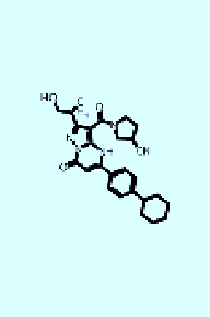 CC(CO)c1nn2c(=O)cc(-c3ccc(C4CCCCC4)cc3)[nH]c2c1C(=O)N1CCC(C#N)C1